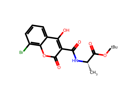 C[C@H](NC(=O)c1c(O)c2cccc(Br)c2oc1=O)C(=O)OC(C)(C)C